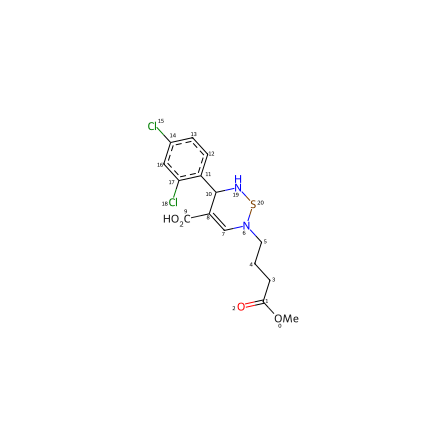 COC(=O)CCCN1C=C(C(=O)O)C(c2ccc(Cl)cc2Cl)NS1